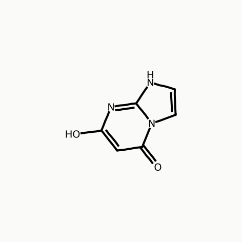 O=c1cc(O)nc2[nH]ccn12